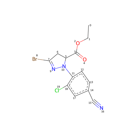 CCOC(=O)C1CC(Br)=NN1c1ccc(C#N)cc1Cl